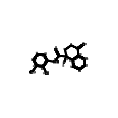 O=C1CC[C@@](F)(C(=O)Nc2cccc(Cl)c2Cl)c2cccnc21